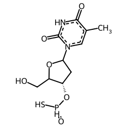 Cc1cn(C2C[C@H](O[PH](=O)S)C(CO)O2)c(=O)[nH]c1=O